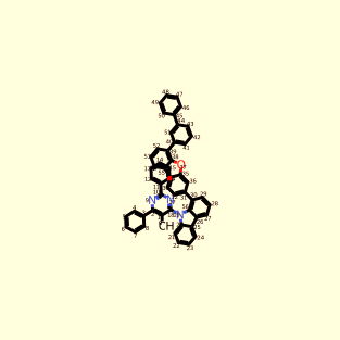 Cc1c(-c2ccccc2)nc(-c2ccccc2)nc1-n1c2ccccc2c2cccc(-c3ccc4c(c3)oc3c(-c5cccc(-c6ccccc6)c5)cccc34)c21